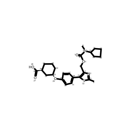 Cc1nc(COC(=O)N(C)C2CCCC2)c(-c2ccc(O[C@H]3CCC[C@H](C(=O)O)C3)cc2)s1